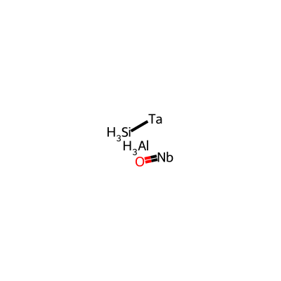 [AlH3].[O]=[Nb].[SiH3][Ta]